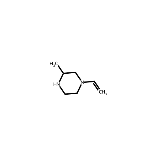 C=CN1CCNC(C)C1